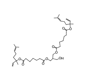 C=CC(C)(CCC=C(C)C)OC(=O)CCCCCC(=O)OCC(CO)COC(=O)CCCCCC(=O)OC(C)(C=C)CCC=C(C)C